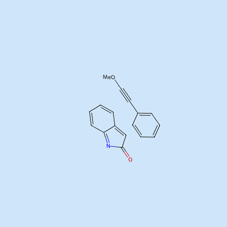 COC#Cc1ccccc1.O=C1C=c2ccccc2=N1